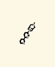 CN1CC2CN(c3ccc(-c4cccnc4)nn3)CC(C1)O2